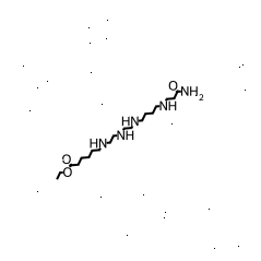 CCOC(=O)CCCCCNCCNCCNCCCCNCCC(N)=O